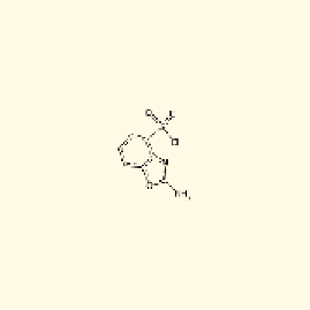 Nc1nc2c(S(=O)(=O)Cl)cccc2o1